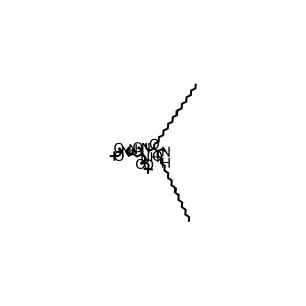 CCCCCCCC/C=C/CCCCCCCCOC(CNC)C(CN(C)C(=O)C(Cc1cn(C(=O)OC(C)(C)C)cn1)NC(=O)OC(C)(C)C)OCCCCCCCC/C=C/CCCCCCCC